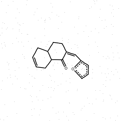 O=C1C(=Cc2ccco2)CCC2CC=CCC12